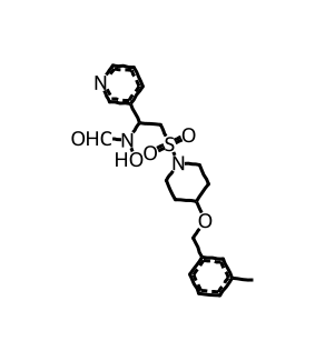 Cc1cccc(COC2CCN(S(=O)(=O)CC(c3cccnc3)N(O)C=O)CC2)c1